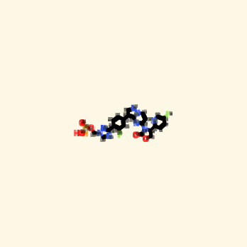 O=C1OC[C@H](c2ccc(F)cn2)N1c1ccn2ncc(-c3ccc(-c4ncn(CO[PH](=O)O)n4)c(F)c3)c2n1